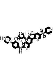 Cc1cc(Nc2ncc3cc(-c4ncc(S(=O)(=O)c5ccncc5)cc4C)c(=O)n(C4CCOC4)c3n2)ccc1N1CCNCC1